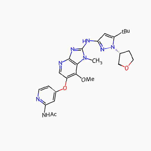 COc1c(Oc2ccnc(NC(C)=O)c2)cnc2nc(Nc3cc(C(C)(C)C)n([C@@H]4CCOC4)n3)n(C)c12